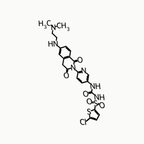 CN(C)CCNc1ccc2c(c1)CC(=O)N(c1ccc(NC(=O)NS(=O)(=O)c3ccc(Cl)s3)cn1)C2=O